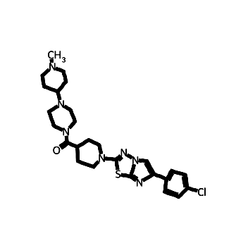 CN1CCC(N2CCN(C(=O)C3CCN(c4nn5cc(-c6ccc(Cl)cc6)nc5s4)CC3)CC2)CC1